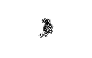 c1ccc(-c2cccc(N(c3ccccc3)c3ccc4sc5cc6c7c(c8ccccc8n7c7cccc8c9ccccc9n6c87)c5c4c3)c2)cc1